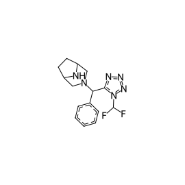 FC(F)n1nnnc1C(c1ccccc1)N1CC2CCC(C1)N2